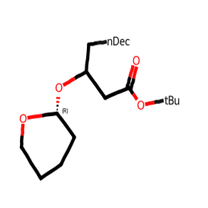 CCCCCCCCCCCC(CC(=O)OC(C)(C)C)O[C@@H]1CCCCO1